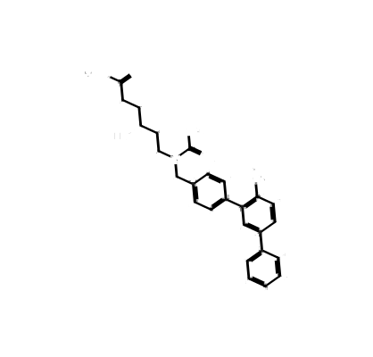 CCCCC(=O)N(CC[C@H](O)CCC(=O)OC)Cc1ccc(-c2cc(-c3ccccc3)ccc2C#N)cc1